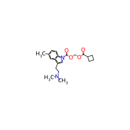 Cc1ccc2c(c1)c(CCN(C)C)cn2C(=O)OCOC(=O)C1CCC1